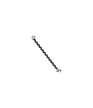 SCCCCCCCCCCCCCCCCCCCCCCCCCl